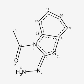 CC(=O)n1c(=NN)sc2ccccc21